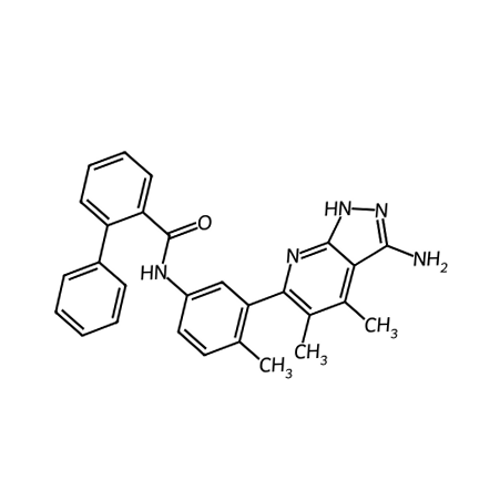 Cc1ccc(NC(=O)c2ccccc2-c2ccccc2)cc1-c1nc2[nH]nc(N)c2c(C)c1C